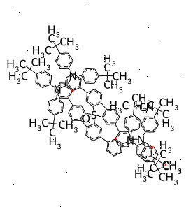 CC(C)(C)c1ccc(N(c2ccc(C(C)(C)C)cc2)c2cccc(-c3ccc4c(c3)S3(=O)(c5cc(-c6cccc(N(c7ccc(C(C)(C)C)cc7)c7ccc(C(C)(C)C)cc7)c6)ccc5-4)c4cc(-c5cccc(N(c6ccc(C(C)(C)C)cc6)c6ccc(C(C)(C)C)cc6)c5)ccc4-c4ccc(-c5cccc(N(c6ccc(C(C)(C)C)cc6)c6ccc(C(C)(C)C)cc6)c5)cc43)c2)cc1